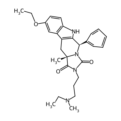 CCOc1ccc2[nH]c3c(c2c1)C[C@@]1(C)C(=O)N(CCCN(C)CC)C(=O)N1[C@@H]3c1ccccc1